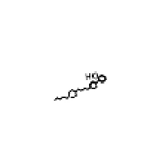 CCCCCC1CCC(CCCCc2ccc(-c3ccccc3O)cc2)CC1